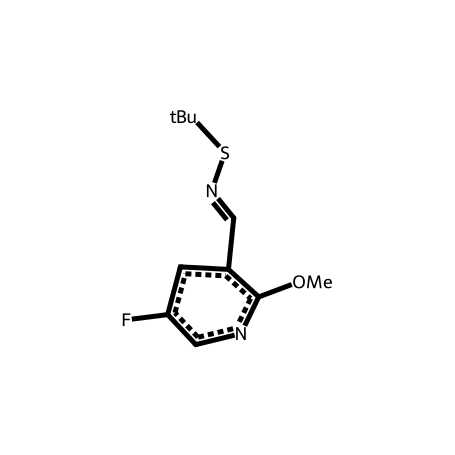 COc1ncc(F)cc1C=NSC(C)(C)C